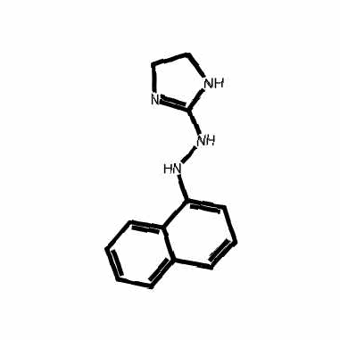 c1ccc2c(NNC3=NCCN3)cccc2c1